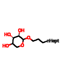 CCCCCCCCCCO[C@H]1OC[C@@H](O)[C@H](O)[C@@H]1O